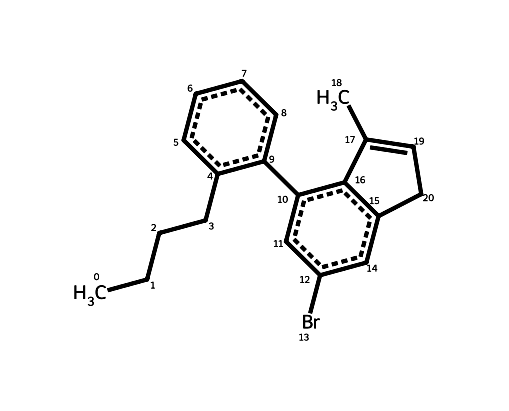 CCCCc1ccccc1-c1cc(Br)cc2c1C(C)=CC2